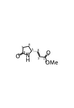 COC(=O)/C=C/[C@H]1CCC(=O)N1